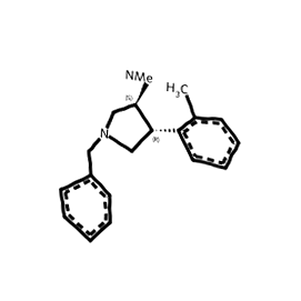 CN[C@@H]1CN(Cc2ccccc2)C[C@H]1c1ccccc1C